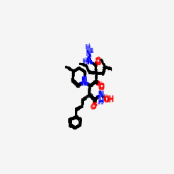 CCCC(CC(C)C)(C(=O)NN)C(=O)[C@@H]([C@H](C/C=C/c1ccccc1)C(=O)NO)N1CCC(C)CC1